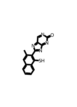 Cc1cc2ccccc2c(S)c1C1=NC2=NC(=O)N=CC2=N1